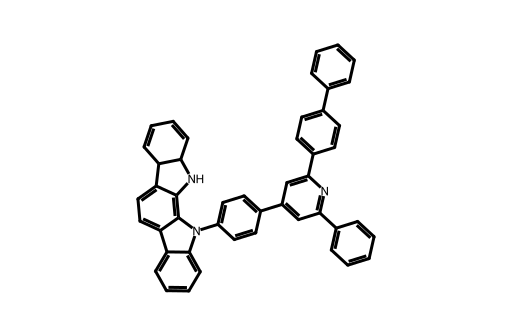 C1=CC2Nc3c(ccc4c5ccccc5n(-c5ccc(-c6cc(-c7ccccc7)nc(-c7ccc(-c8ccccc8)cc7)c6)cc5)c34)C2C=C1